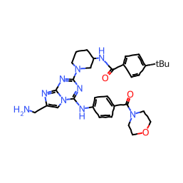 CC(C)(C)c1ccc(C(=O)NC2CCCN(c3nc(Nc4ccc(C(=O)N5CCOCC5)cc4)n4cc(CN)nc4n3)C2)cc1